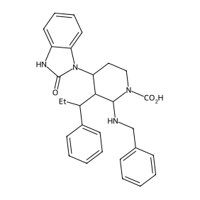 CCC(c1ccccc1)C1C(NCc2ccccc2)N(C(=O)O)CCC1n1c(=O)[nH]c2ccccc21